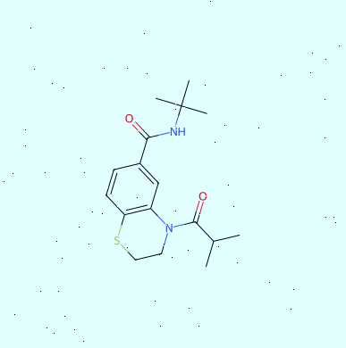 CC(C)C(=O)N1CCSc2ccc(C(=O)NC(C)(C)C)cc21